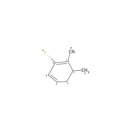 CC1CC=CC(F)=C1C#N